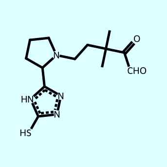 CC(C)(CCN1CCCC1c1nnc(S)[nH]1)C(=O)C=O